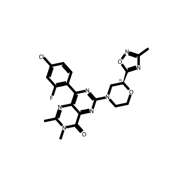 Cc1noc([C@@H]2CN(c3nc(-c4ccc(Cl)cc4F)c4nc(C)n(C)c(=O)c4n3)CCO2)n1